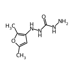 Cc1cc(NNC(=O)NN)c(C)o1